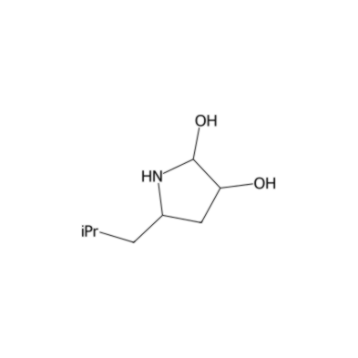 CC(C)CC1CC(O)C(O)N1